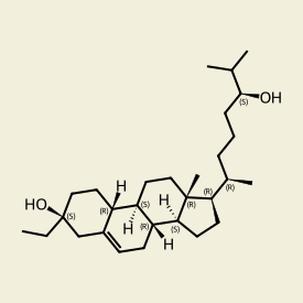 CC[C@]1(O)CC[C@H]2C(=CC[C@@H]3[C@@H]2CC[C@]2(C)[C@@H]([C@H](C)CCC[C@H](O)C(C)C)CC[C@@H]32)C1